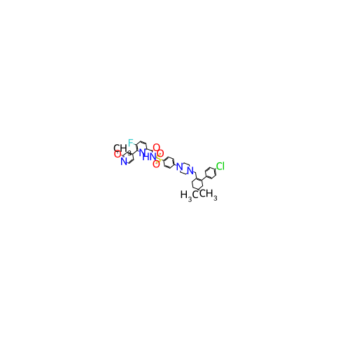 COc1cc(-c2nc(C(=O)NS(=O)(=O)c3ccc(N4CCN(CC5=C(c6ccc(Cl)cc6)CC(C)(C)CC5)CC4)cc3)ccc2F)ccn1